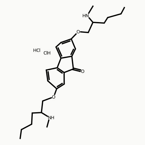 CCCCC(COc1ccc2c(c1)C(=O)c1cc(OCC(CCCC)NC)ccc1-2)NC.Cl.Cl